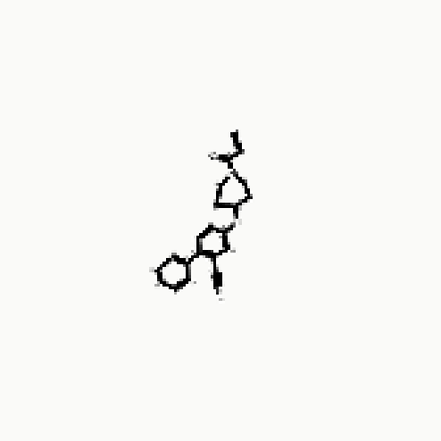 C=CC(=O)N1CCC(Oc2ccc(-c3ccccc3)c(C#N)c2)CC1